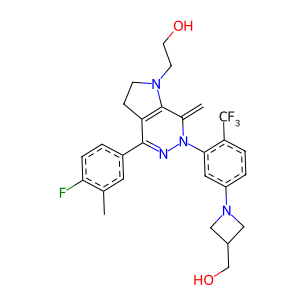 C=C1C2=C(CCN2CCO)C(c2ccc(F)c(C)c2)=NN1c1cc(N2CC(CO)C2)ccc1C(F)(F)F